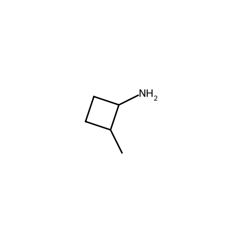 CC1CCC1N